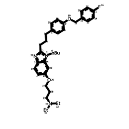 CCCCn1c(CCCc2ccc(OCc3ccc(F)cc3)cc2)nc2ccc(OCCCN(CC)CC)cc21